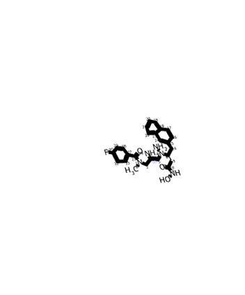 CN(C/C(N)=C/N(N)[C@@H](CC(=O)NO)Cc1ccc2ccccc2c1)C(=O)c1ccc(F)cc1